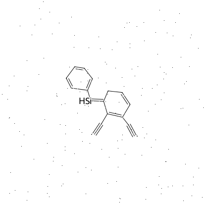 [C]#CC1=C(C#[C])C(=[SiH]c2ccccc2)CC=C1